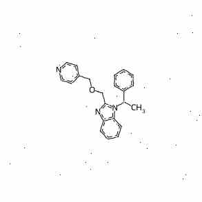 CC(c1ccccc1)n1c(COCc2ccncc2)nc2ccccc21